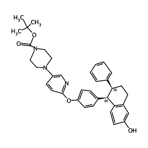 CC(C)(C)OC(=O)N1CCN(c2ccc(Oc3ccc([C@@H]4c5ccc(O)cc5CC[C@@H]4c4ccccc4)cc3)nc2)CC1